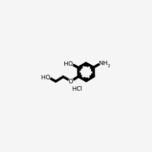 Cl.Nc1ccc(OCCO)c(O)c1